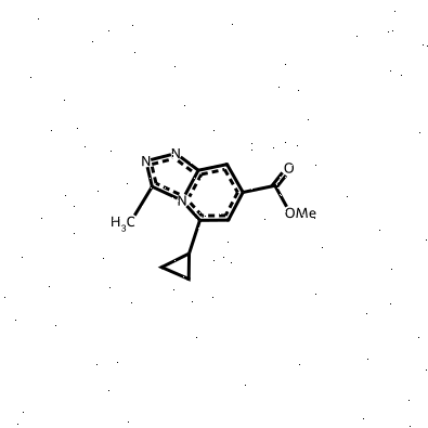 COC(=O)c1cc(C2CC2)n2c(C)nnc2c1